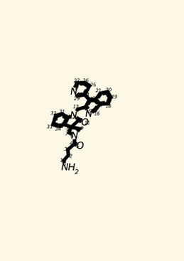 NCCCC(=O)N1CC2(C1)C(=O)N(Cc1ncc3ccccc3c1-c1cccnc1)c1ccccc12